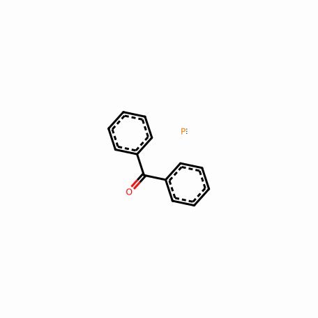 O=C(c1ccccc1)c1ccccc1.[P]